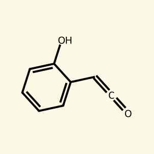 O=C=Cc1ccccc1O